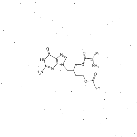 CCCC(=O)OCCC(COC(=O)[C@@H](N)C(C)C)Cn1cnc2c(=O)[nH]c(N)nc21